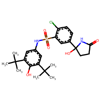 CC(C)(C)c1cc(NS(=O)(=O)c2cc(C3(O)CCC(=O)N3)ccc2Cl)cc(C(C)(C)C)c1O